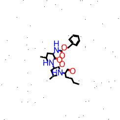 CCCCC(C=O)NC(=O)C(CC(C)C)NC(=O)C(CC(C)C)NC(=O)OCc1ccccc1